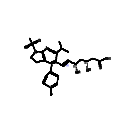 CC(C)c1nc2c(c(-c3ccc(F)cc3)c1/C=C/[C@@H](O)C[C@@H](O)CC(=O)O)CCN2S(C)(=O)=O